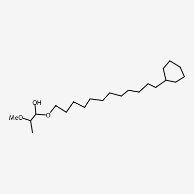 COC(C)C(O)OCCCCCCCCCCCCC1CCCCC1